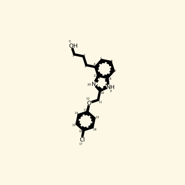 OCCCc1cccc2[nH]c(COc3ccc(Cl)cc3)nc12